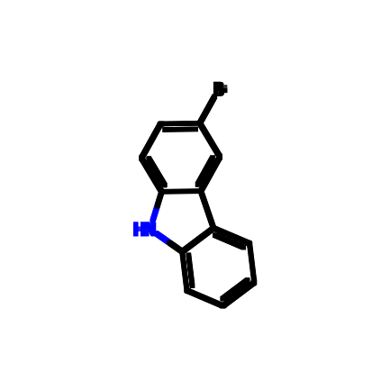 [B]c1ccc2[nH]c3ccccc3c2c1